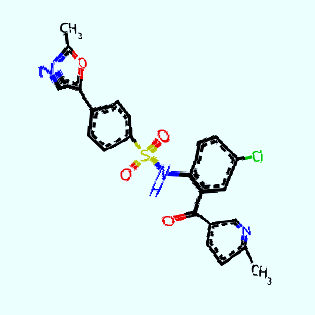 Cc1ccc(C(=O)c2cc(Cl)ccc2NS(=O)(=O)c2ccc(-c3cnc(C)o3)cc2)cn1